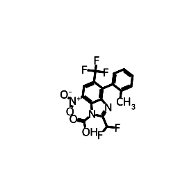 Cc1ccccc1-c1c(C(F)(F)F)cc([N+](=O)[O-])c2c1nc(C(F)F)n2C(=O)O